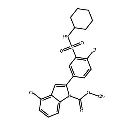 CC(C)(C)OC(=O)n1c(-c2ccc(Cl)c(S(=O)(=O)NC3CCCCC3)c2)cc2c(Cl)cccc21